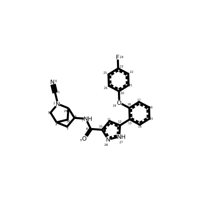 N#CN1CC2CC(NC(=O)c3cc(-c4ccccc4Oc4ccc(F)cc4)[nH]n3)C1C2